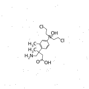 Cc1cc([N+](O)(CCCl)CCCl)ccc1C(C)(CN)CC(=O)O